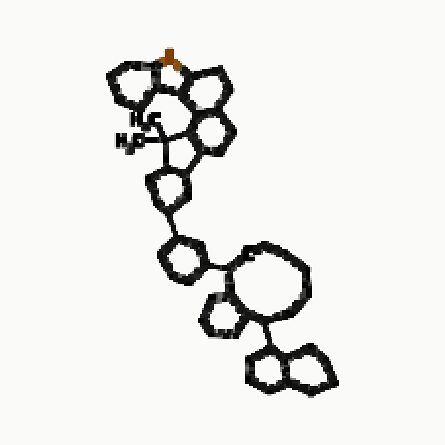 CC1(C)c2ccc(-c3cccc(-c4ccccccc(-c5cccc6ccccc56)c5ccccc45)c3)cc2-c2ccc3ccc4sc5ccccc5c4c3c21